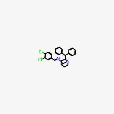 Clc1ccc(C=NC2C3CCN(CC3)C2C(c2ccccc2)c2ccccc2)cc1Cl